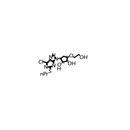 CCCSc1nc(Cl)c2nnn([C@H]3C[C@@H](OCCO)[C@H](O)[C@@H]3O)c2n1